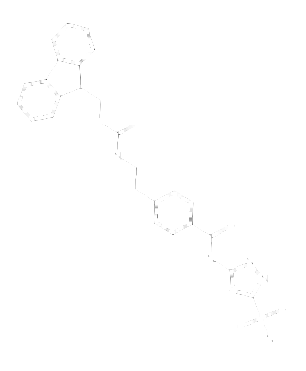 NS(=O)(=O)c1nnc(NC(=O)c2ccc(CCNC(=O)OCC3c4ccccc4-c4ccccc43)cc2)s1